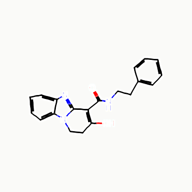 O=C(NCCc1ccccc1)C1=C(O)CCn2c1nc1ccccc12